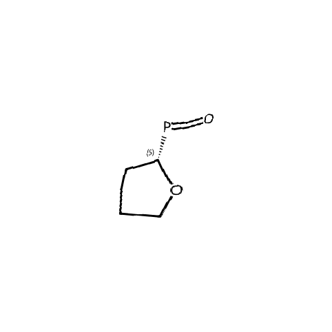 O=P[C@H]1CCCO1